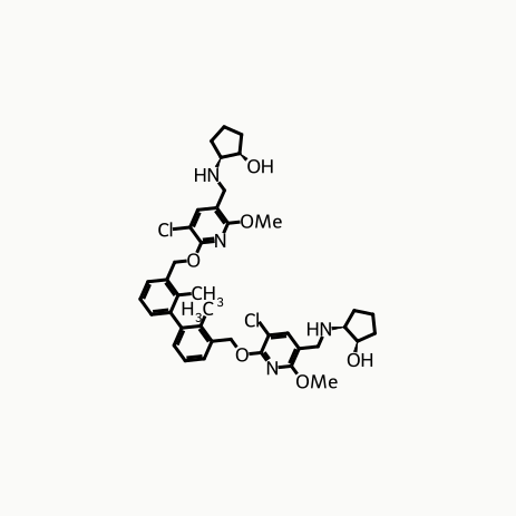 COc1nc(OCc2cccc(-c3cccc(COc4nc(OC)c(CN[C@H]5CCC[C@H]5O)cc4Cl)c3C)c2C)c(Cl)cc1CN[C@H]1CCC[C@H]1O